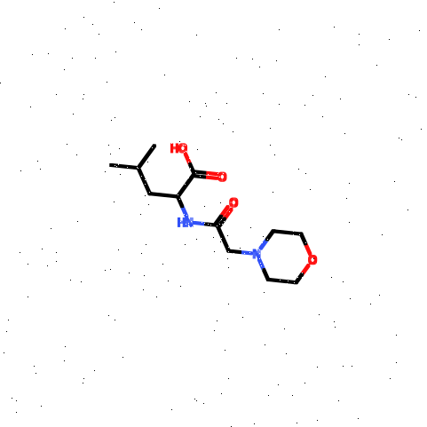 CC(C)CC(NC(=O)CN1CCOCC1)C(=O)O